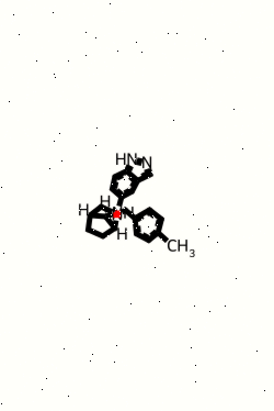 Cc1ccc(CN2C[C@H]3CC[C@@H]2[C@@H]3Nc2ccc3[nH]ncc3c2)cc1